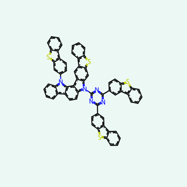 c1ccc2c(c1)sc1cc(-n3c4ccccc4c4ccc5c(c6cc7c(cc6n5-c5nc(-c6ccc8sc9ccccc9c8c6)nc(-c6ccc8sc9ccccc9c8c6)n5)sc5ccccc57)c43)ccc12